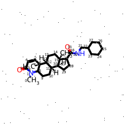 CN1C(=O)C=C[C@@]2(C)C1CC[C@@H]1[C@H]2CC[C@]2(C)C(C(=O)NCC3CCCCC3)CC[C@@H]12